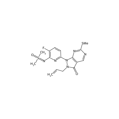 C=CCn1c(=O)c2cnc(SC)nc2n1-c1ccc(F)c(N=S(C)(C)=O)n1